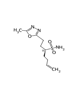 C=CCC[C@@H](CCc1nnc(C)o1)S(N)(=O)=O